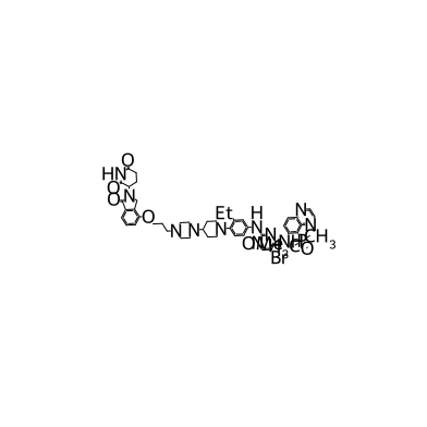 CCc1cc(Nc2ncc(Br)c(Nc3ccc4nccnc4c3P(C)(C)=O)n2)c(OC)cc1N1CCC(N2CCN(CCCOc3cccc4c3CN(C3CCC(=O)NC3=O)C4=O)CC2)CC1